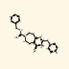 O=C(OCc1ccccc1)N1CCc2nc(Cc3ccccc3)[nH]c(=O)c2CC1